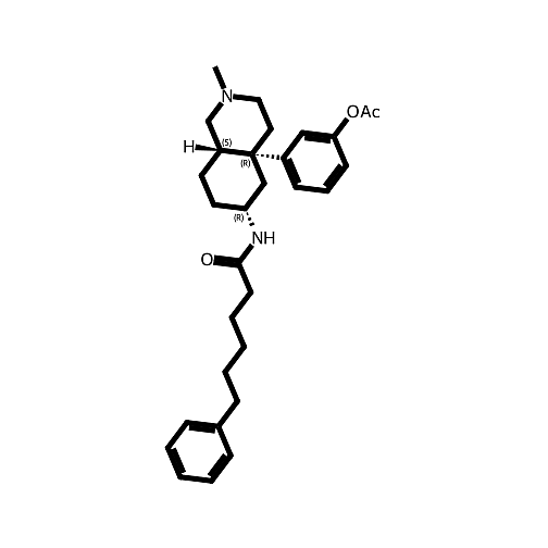 CC(=O)Oc1cccc([C@@]23CCN(C)C[C@H]2CC[C@@H](NC(=O)CCCCCc2ccccc2)C3)c1